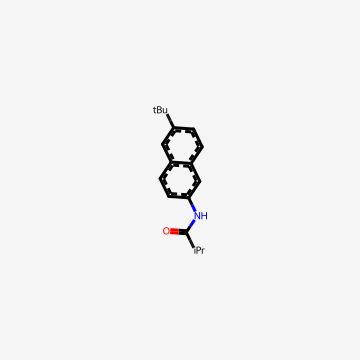 CC(C)C(=O)Nc1ccc2cc(C(C)(C)C)ccc2c1